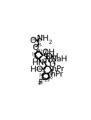 CCCC1(CCC)C(=O)C(C2=NS(O)(O)c3cc(OCC(N)=O)ccc3N2)=C(O)c2cc(F)ccc21.[NaH]